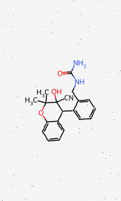 CC1(C)Oc2ccccc2C(c2ccccc2CNC(N)=O)C1(O)C#N